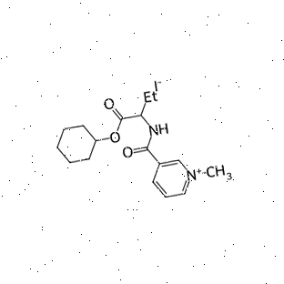 CCC(NC(=O)c1ccc[n+](C)c1)C(=O)OC1CCCCC1.[I-]